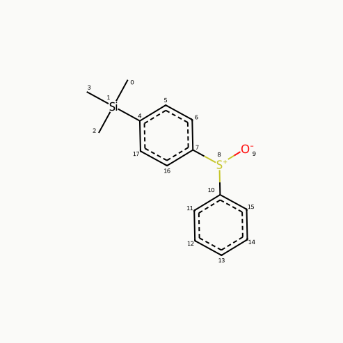 C[Si](C)(C)c1ccc([S+]([O-])c2ccccc2)cc1